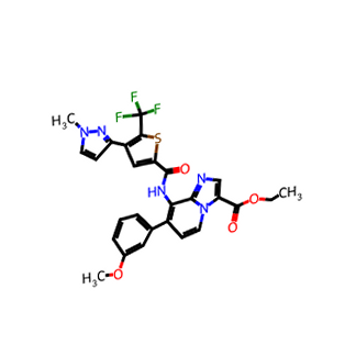 CCOC(=O)c1cnc2c(NC(=O)c3cc(-c4ccn(C)n4)c(C(F)(F)F)s3)c(-c3cccc(OC)c3)ccn12